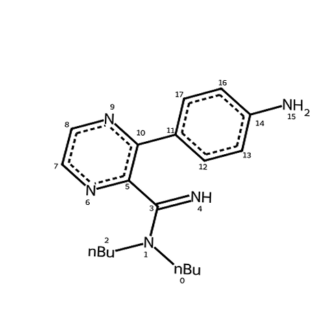 CCCCN(CCCC)C(=N)c1nccnc1-c1ccc(N)cc1